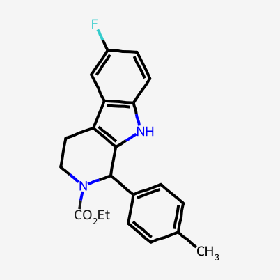 CCOC(=O)N1CCc2c([nH]c3ccc(F)cc23)C1c1ccc(C)cc1